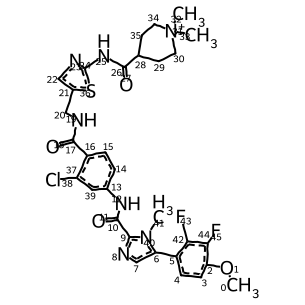 COc1ccc(-c2cnc(C(=O)Nc3ccc(C(=O)NCc4cnc(NC(=O)C5CC[N+](C)(C)CC5)s4)c(Cl)c3)n2C)c(F)c1F